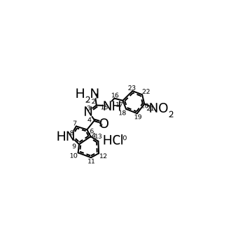 Cl.NC(=NC(=O)c1c[nH]c2ccccc12)NCc1ccc([N+](=O)[O-])cc1